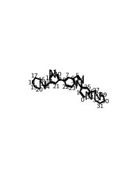 c1cc(-n2ncc3cc(-c4cncc(CN5CCCCC5)c4)ccc32)cc(CN2CCCC2)n1